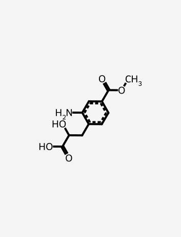 COC(=O)c1ccc(CC(O)C(=O)O)c(N)c1